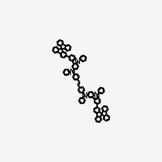 C(=C\c1ccc(N(c2ccccc2)c2ccc3c(c2)c2cc(-c4ccc5c(c4)C4(c6ccccc6-c6ccccc64)c4ccccc4-5)ccc2n3-c2ccccc2)cc1)/c1ccc(N(c2ccccc2)c2ccc3c(c2)c2cc(-c4ccc5c(c4)C4(c6ccccc6-c6ccccc64)c4ccccc4-5)ccc2n3-c2ccccc2)cc1